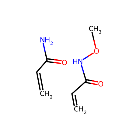 C=CC(=O)NOC.C=CC(N)=O